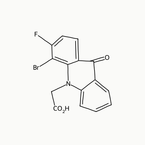 O=C(O)Cn1c2ccccc2c(=O)c2ccc(F)c(Br)c21